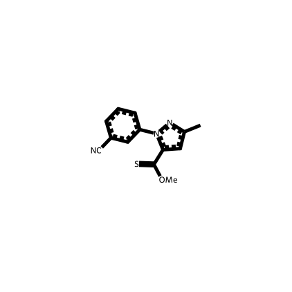 COC(=S)c1cc(C)nn1-c1cccc(C#N)c1